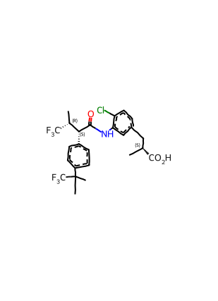 C[C@H]([C@H](C(=O)Nc1cc(C[C@H](C)C(=O)O)ccc1Cl)c1ccc(C(C)(C)C(F)(F)F)cc1)C(F)(F)F